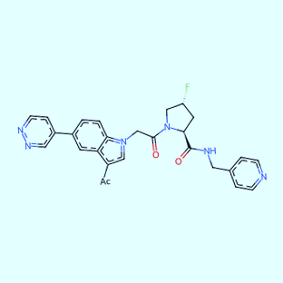 CC(=O)c1cn(CC(=O)N2C[C@H](F)C[C@H]2C(=O)NCc2ccncc2)c2ccc(-c3ccnnc3)cc12